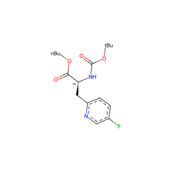 CCCCOC(=O)[C@H](Cc1ccc(F)cn1)NC(=O)OC(C)(C)C